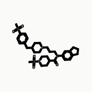 CS(=O)(=O)c1ccc(CC2CCN(CCCN(C(=O)C3CCN(S(C)(=O)=O)CC3)c3ccc4c(c3)CCC4)CC2)cc1